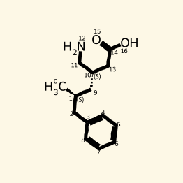 C[C@H](Cc1ccccc1)C[C@H](CN)CC(=O)O